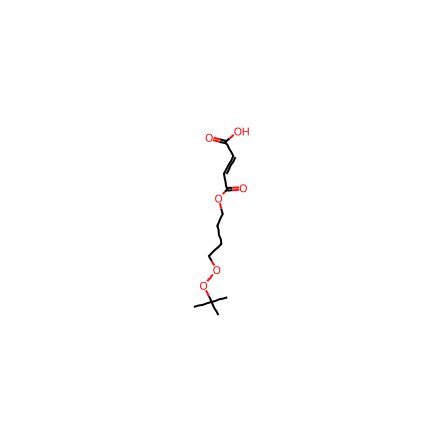 CC(C)(C)OOCCCCOC(=O)/C=C/C(=O)O